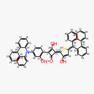 O=C1C(c2ccc(N(c3ccccc3)c3ccccc3-c3ccccc3)cc2O)=C(O)/C1=c1\s/c(=C(\c2ccccc2)c2ccccc2-c2ccccc2)cc1O